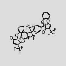 O=C1C=C(C(F)(F)F)C(=O)[N+]1(Oc1ccccc1)c1ccc(C(c2ccc([N+]3(Oc4ccccc4)C(=O)C=C(C(F)(F)F)C3=O)cc2)(C(F)(F)F)C(F)(F)F)cc1